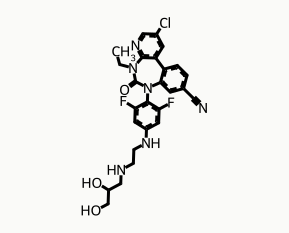 CCN1C(=O)N(c2c(F)cc(NCCNCC(O)CO)cc2F)c2cc(C#N)ccc2-c2cc(Cl)cnc21